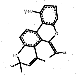 CCC(C)=C1Oc2cccc(OC)c2-c2ccc3c(c21)C(C)=CC(C)(C)N3